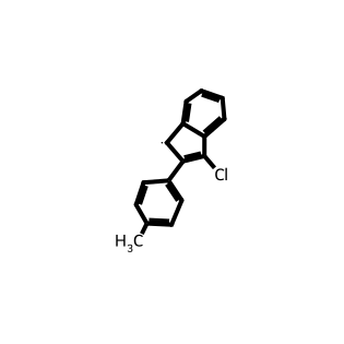 Cc1ccc(C2=C(Cl)c3ccccc3[CH]2)cc1